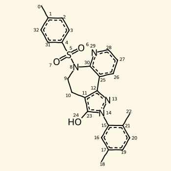 Cc1ccc(S(=O)(=O)N2CCc3c(nn(-c4cc(C)ccc4C)c3O)-c3cccnc32)cc1